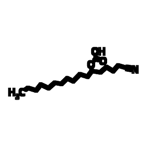 CCCCCCCCCCCC(CCCCC#N)OC(=O)O